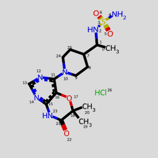 CC(NS(N)(=O)=O)C1CCN(c2ncnc3c2OC(C)(C)C(=O)N3)CC1.Cl